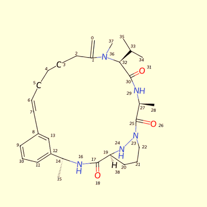 C=C1CCCC/C=C/c2cccc(c2)[C@@H](C)NC(=O)[C@@H]2CCCN(N2)C(=O)[C@H](C)NC(=O)[C@H](C(C)C)N1C